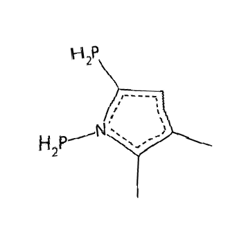 Cc1cc(P)n(P)c1C